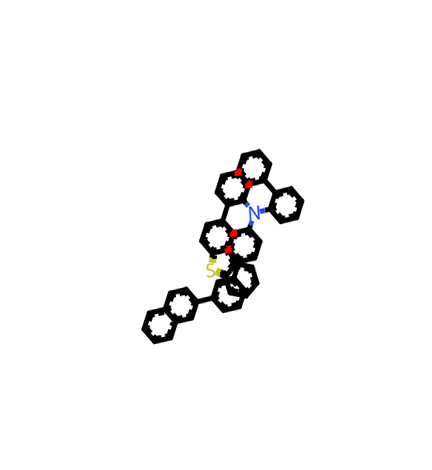 c1ccc(-c2ccccc2N(c2ccc(-c3cccc(-c4ccc5ccccc5c4)c3)cc2)c2ccccc2-c2ccc3sc4ccccc4c3c2)cc1